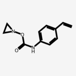 C=Cc1ccc(NC(=O)ON2CC2)cc1